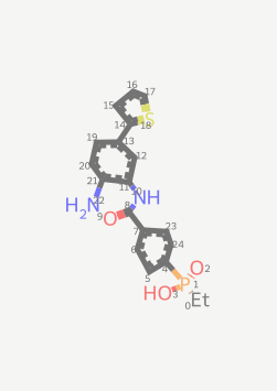 CCP(=O)(O)c1ccc(C(=O)Nc2cc(-c3cccs3)ccc2N)cc1